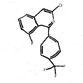 Fc1cccc2cc(Cl)nc(-c3ccc(C(F)(F)F)cc3)c12